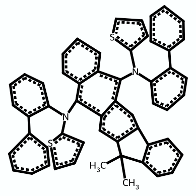 CC1(C)c2ccccc2-c2cc3c(N(c4cccs4)c4ccccc4-c4ccccc4)c4ccccc4c(N(c4cccs4)c4ccccc4-c4ccccc4)c3cc21